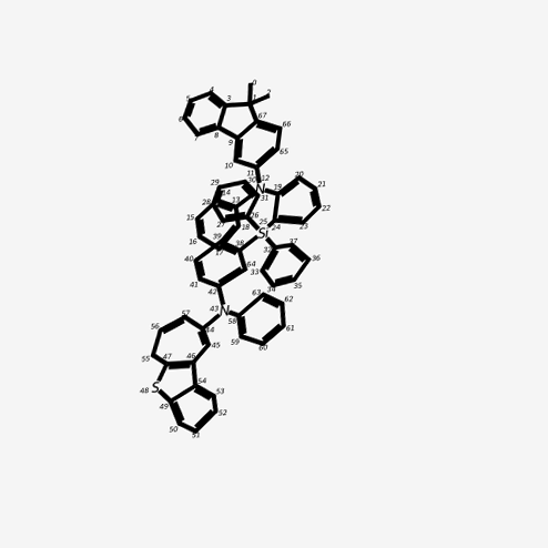 CC1(C)c2ccccc2-c2cc(N(c3ccccc3)c3ccccc3[Si](c3ccccc3)(c3ccccc3)c3cccc(N(C4=Cc5c(sc6ccccc56)CC=C4)c4ccccc4)c3)ccc21